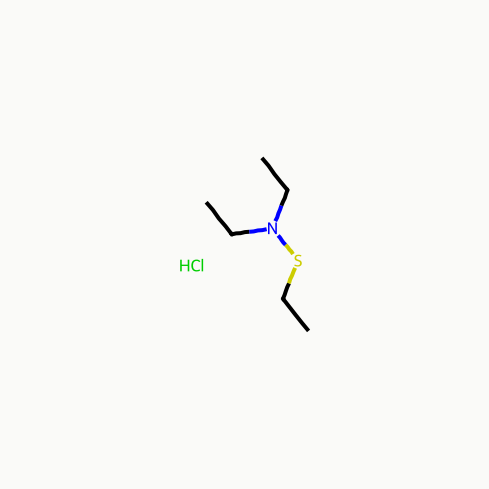 CCSN(CC)CC.Cl